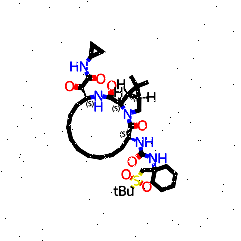 CC1(C)[C@@H]2[C@H]3C(=O)N[C@H](C(=O)C(=O)NC4CC4)CCCCCCCCC[C@H](NC(=O)NC4(CS(=O)(=O)C(C)(C)C)CCCCC4)C(=O)N3C[C@@H]21